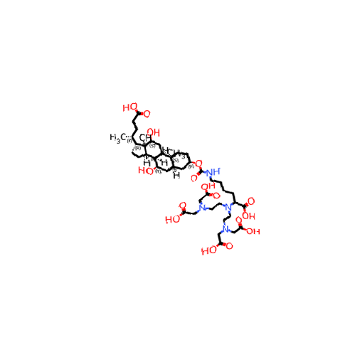 C[C@H](CCC(=O)O)[C@H]1CC[C@H]2[C@@H]3[C@H](O)C[C@@H]4C[C@H](OC(=O)NCCCCC(C(=O)O)N(CCN(CC(=O)O)CC(=O)O)CCN(CC(=O)O)CC(=O)O)CC[C@]4(C)[C@H]3C[C@H](O)[C@]12C